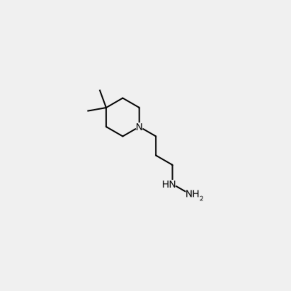 CC1(C)CCN(CCCNN)CC1